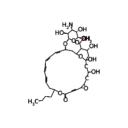 CCCCC1C/C=C/C=C/C=C/C=C/C(O[C@@H]2O[C@H](C)[C@@H](O)[C@H](N)[C@@H]2O)CC2OC(O)(CC(O)CC3OC3/C=C/C(=O)O1)CC(O)C2C(=O)O